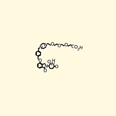 O=C(O)CCOCCOCCOCCN1CCN(Cc2ccc(COc3cccc4c3CN(C3CCC(=O)NC3=O)C4=O)cc2)CC1